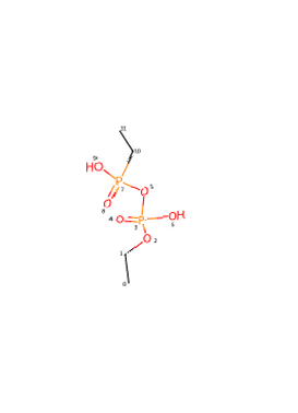 CCOP(=O)(O)OP(=O)(O)CC